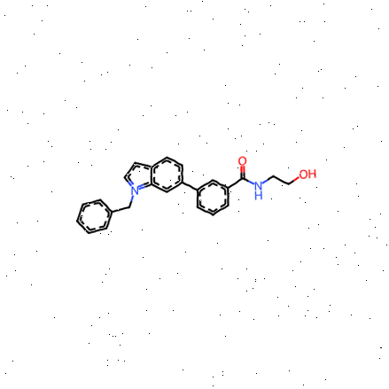 O=C(NCCO)c1cccc(-c2ccc3ccn(Cc4ccccc4)c3c2)c1